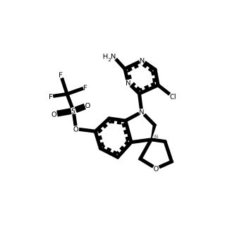 Nc1ncc(Cl)c(N2C[C@]3(CCOC3)c3ccc(OS(=O)(=O)C(F)(F)F)cc32)n1